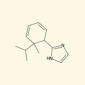 CC(C)C1(C)C=CC=CC1c1ncc[nH]1